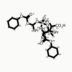 CCCC(OC(=O)OC1CCCCC1)OP(=O)(NC(=N)N(C)C(C(=O)O)C(C)C)OC(CCC)OC(=O)OC1CCCCC1